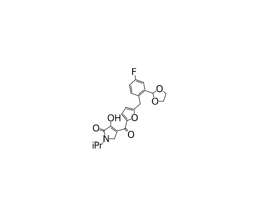 CC(C)N1CC(C(=O)c2ccc(Cc3ccc(F)cc3C3OCCO3)o2)=C(O)C1=O